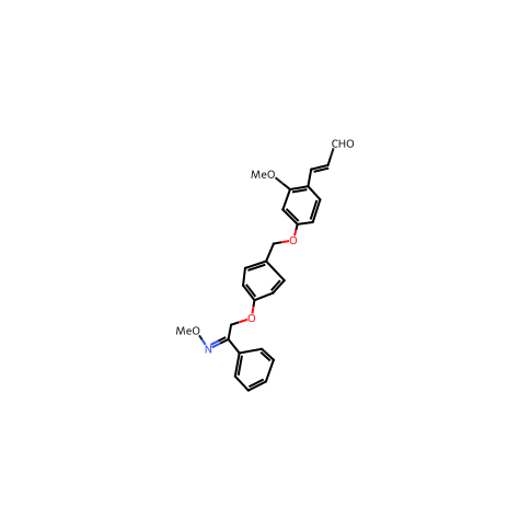 CO/N=C(\COc1ccc(COc2ccc(/C=C/C=O)c(OC)c2)cc1)c1ccccc1